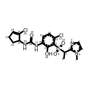 CC(c1nccn1C)S(=O)(=O)c1c(Cl)ccc(NC(=O)NC2CCC=C2Cl)c1O